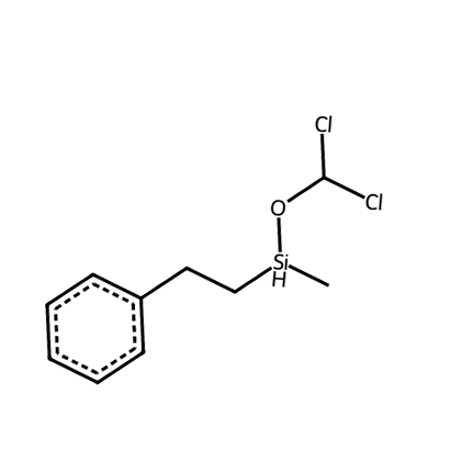 C[SiH](CCc1ccccc1)OC(Cl)Cl